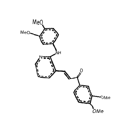 COc1ccc(Nc2ncccc2C=CC(=O)c2ccc(OC)c(OC)c2)cc1OC